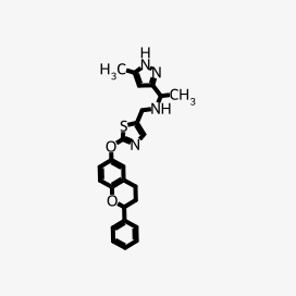 Cc1cc(C(C)NCc2cnc(Oc3ccc4c(c3)CCC(c3ccccc3)O4)s2)n[nH]1